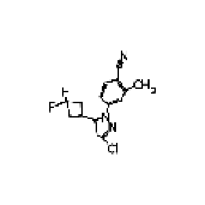 Cc1cc(N2N=C(Cl)CC2C2CC(F)(F)C2)ccc1C#N